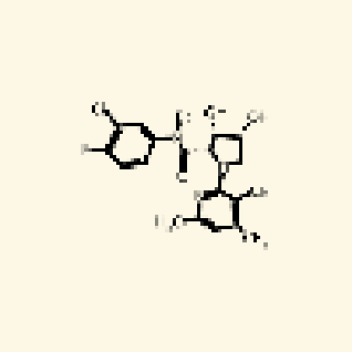 CCN(C(=O)[C@@H]1[C@H](O)[C@H](O)CN1c1nc(C)cc(C(F)(F)F)c1C#N)c1ccc(F)c(Cl)c1